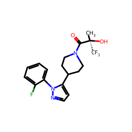 C[C@@](O)(C(=O)N1CCC(c2ccnn2-c2ccccc2F)CC1)C(F)(F)F